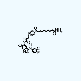 COc1cc2ncnc(Nc3ccc(F)c(Cl)c3)c2cc1NC(=O)/C=C/CN1CCN(C(=O)CCCCCCCCC(N)=O)CC1